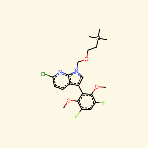 COc1c(F)cc(F)c(OC)c1-c1cn(COCC[Si](C)(C)C)c2nc(Cl)ccc12